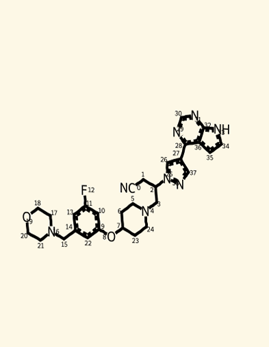 N#CCC(CN1CCC(Oc2cc(F)cc(CN3CCOCC3)c2)CC1)n1cc(-c2ncnc3[nH]ccc23)cn1